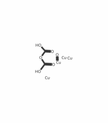 O=C(O)OC(=O)O.[Cu].[Cu].[Cu].[O]=[Cu]